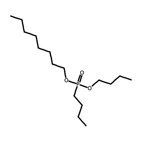 CCCCCCCCOP(=O)(CCCC)OCCCC